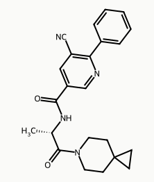 C[C@H](NC(=O)c1cnc(-c2ccccc2)c(C#N)c1)C(=O)N1CCC2(CC1)CC2